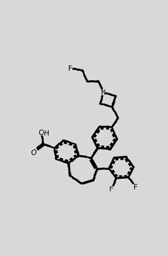 O=C(O)c1ccc2c(c1)CCCC(c1cccc(F)c1F)=C2c1ccc(CC2CN(CCCF)C2)cc1